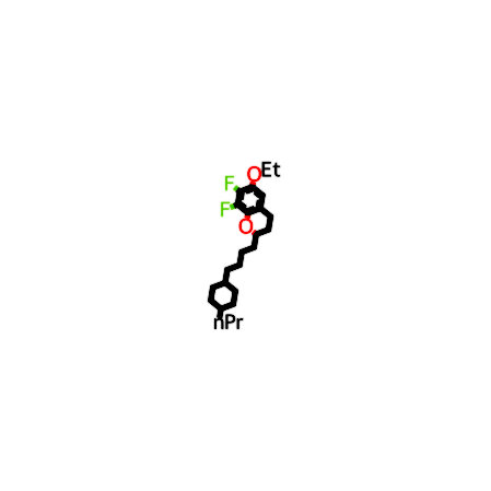 CCCC1CCC(CCCCC2CCc3cc(OCC)c(F)c(F)c3O2)CC1